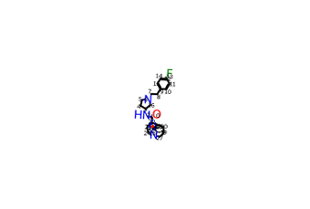 O=C(NC1CCN(CCc2ccc(F)cc2)C1)N1CC2CC3CC1CN(C3)C2